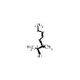 CC/C=C\C=C(/C)C(C)=O